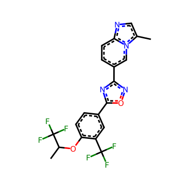 Cc1cnc2ccc(-c3noc(-c4ccc(OC(C)C(F)(F)F)c(C(F)(F)F)c4)n3)cn12